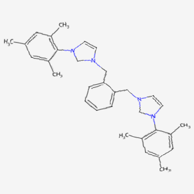 Cc1cc(C)c(N2C=CN(Cc3ccccc3CN3C=CN(c4c(C)cc(C)cc4C)C3)C2)c(C)c1